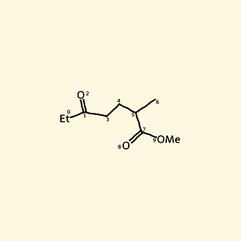 CCC(=O)CCC(C)C(=O)OC